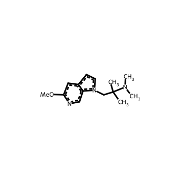 COc1cc2ccn(CC(C)(C)N(C)C)c2cn1